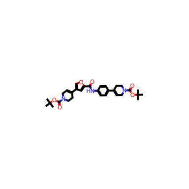 CC(C)(C)OC(=O)N1CC=C(c2ccc(NC(=O)c3cc(C4=CCN(C(=O)OC(C)(C)C)CC4)co3)cc2)CC1